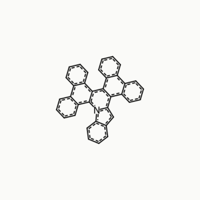 c1ccc2c(c1)cc1c3c4ccccc4c4ccccc4c3c3c4ccccc4c4ccccc4c3n21